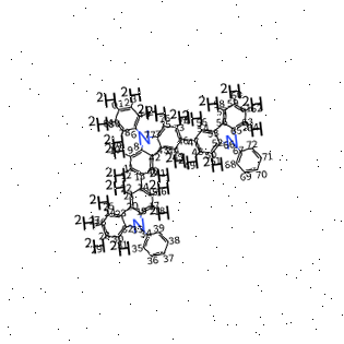 [2H]c1c([2H])c([2H])c(-n2c3c([2H])c([2H])c(-c4c([2H])c([2H])c5c(c4[2H])c4c([2H])c([2H])c([2H])c([2H])c4n5-c4ccccc4)c([2H])c3c3c([2H])c(-c4c([2H])c([2H])c5c(c4[2H])c4c([2H])c([2H])c([2H])c([2H])c4n5-c4ccccc4)c([2H])c([2H])c32)c([2H])c1[2H]